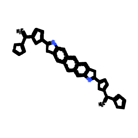 C=C(C1=CC=CC1)C1=CC=C(C2=Nc3cc4cc5cc6c(cc5cc4cc3C2)N=C(C2=CC=C(C(=C)C3=CC=CC3)C2)C6)C1